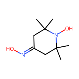 CC1(C)CC(=NO)CC(C)(C)N1O